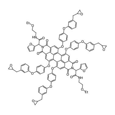 CCOCCNC(=O)C(c1ccco1)N1C(=O)c2cc(Oc3ccc(Oc4cccc(CC5CO5)c4)cc3)c3c4c(Oc5ccc(Oc6cccc(CC7CO7)c6)cc5)cc5c6c(cc(Oc7ccc(Oc8cccc(CC9CO9)c8)cc7)c(c7c(Oc8ccc(Oc9cccc(CC%10CO%10)c9)cc8)cc(c2c37)C1=O)c64)C(=O)N(C(C(=O)NCCOCC)c1ccco1)C5=O